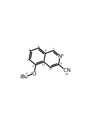 CCC(C)Oc1cccc2cnc(C#N)cc12